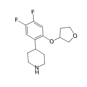 Fc1cc(OC2CCOC2)c(C2CCNCC2)cc1F